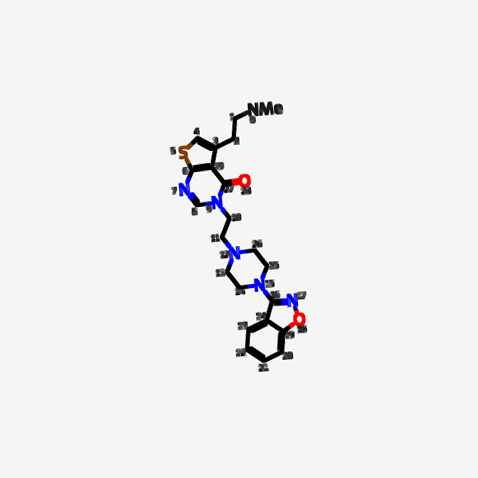 CNCCc1csc2ncn(CCN3CCN(c4noc5ccccc45)CC3)c(=O)c12